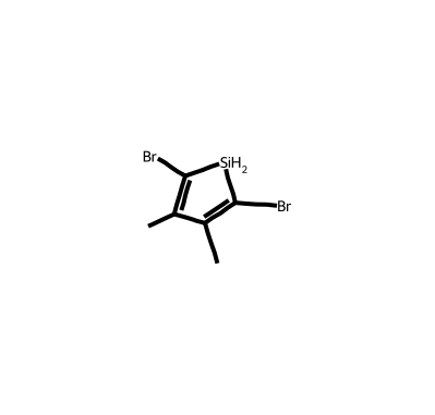 CC1=C(Br)[SiH2]C(Br)=C1C